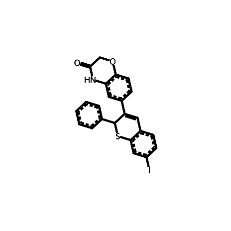 O=C1COc2ccc(C3=Cc4ccc(I)cc4SC3c3ccccc3)cc2N1